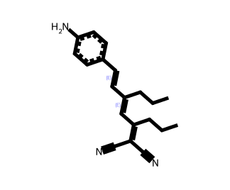 CCCC(/C=C(/C=C/c1ccc(N)cc1)CCC)=C(C#N)C#N